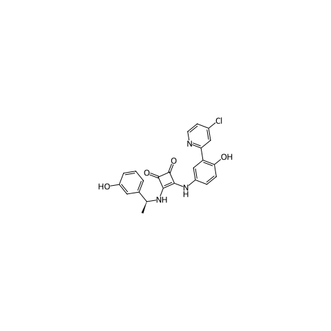 C[C@H](Nc1c(Nc2ccc(O)c(-c3cc(Cl)ccn3)c2)c(=O)c1=O)c1cccc(O)c1